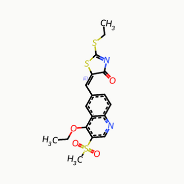 CCOc1c(S(C)(=O)=O)cnc2ccc(/C=C3/SC(SCC)=NC3=O)cc12